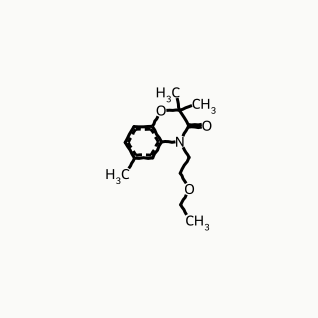 CCOCCN1C(=O)C(C)(C)Oc2ccc(C)cc21